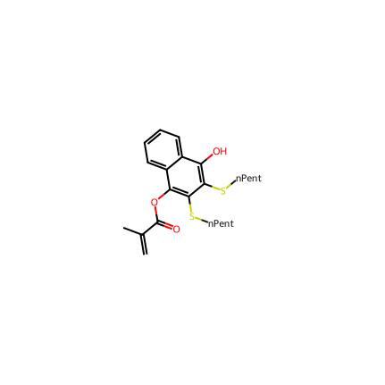 C=C(C)C(=O)Oc1c(SCCCCC)c(SCCCCC)c(O)c2ccccc12